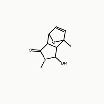 CN1C(=O)C2C3C=CC(C)(O3)C2C1O